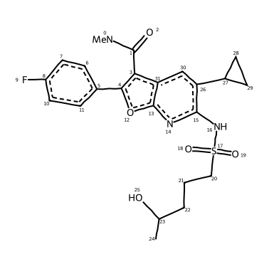 CNC(=O)c1c(-c2ccc(F)cc2)oc2nc(NS(=O)(=O)CCCC(C)O)c(C3CC3)cc12